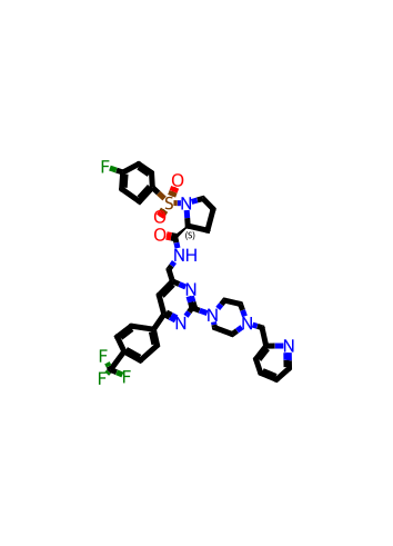 O=C(NCc1cc(-c2ccc(C(F)(F)F)cc2)nc(N2CCN(Cc3ccccn3)CC2)n1)[C@@H]1CCCN1S(=O)(=O)c1ccc(F)cc1